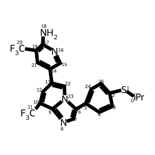 CC(C)Sc1ccc(-c2cnc3c(C(F)(F)F)cc(-c4cnc(N)c(C(F)(F)F)c4)cn23)cc1